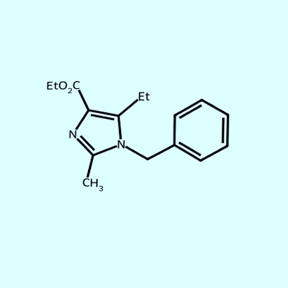 CCOC(=O)c1nc(C)n(Cc2ccccc2)c1CC